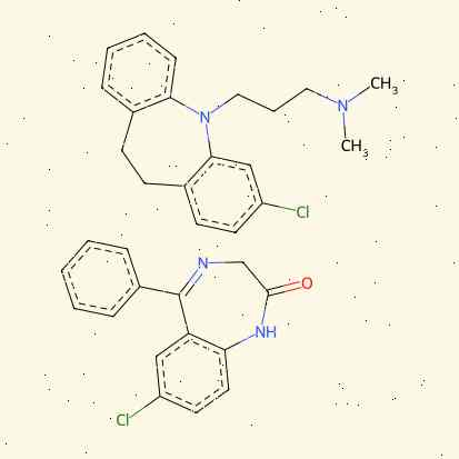 CN(C)CCCN1c2ccccc2CCc2ccc(Cl)cc21.O=C1CN=C(c2ccccc2)c2cc(Cl)ccc2N1